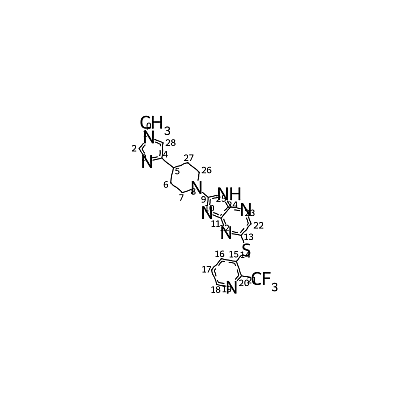 Cn1cnc(C2CCN(c3nc4nc(Sc5cccnc5C(F)(F)F)cnc4[nH]3)CC2)c1